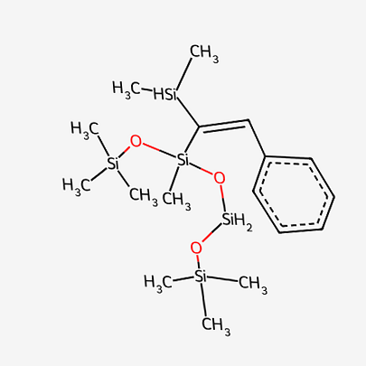 C[SiH](C)C(=Cc1ccccc1)[Si](C)(O[SiH2]O[Si](C)(C)C)O[Si](C)(C)C